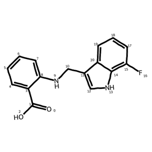 O=C(O)c1ccccc1NCc1c[nH]c2c(F)cccc12